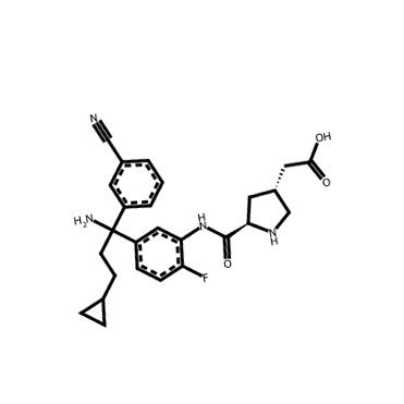 N#Cc1cccc(C(N)(CCC2CC2)c2ccc(F)c(NC(=O)[C@H]3C[C@H](CC(=O)O)CN3)c2)c1